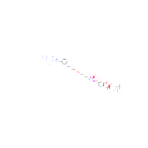 CC1(C)Cc2ccc(C3CN(CCCCCCOCCCCc4cccc(CCN)c4)C(=O)O3)cc2CO1